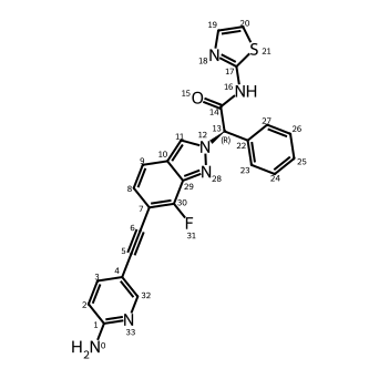 Nc1ccc(C#Cc2ccc3cn([C@@H](C(=O)Nc4nccs4)c4ccccc4)nc3c2F)cn1